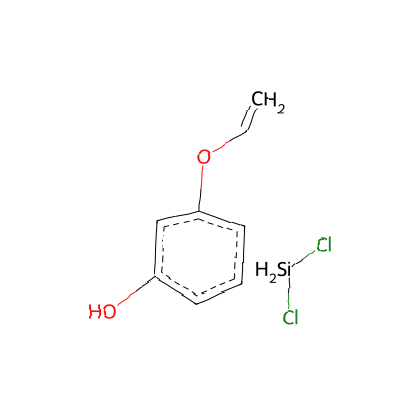 C=COc1cccc(O)c1.Cl[SiH2]Cl